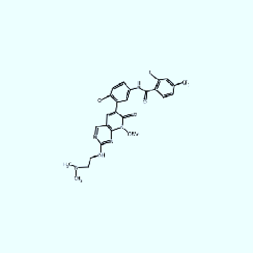 COn1c(=O)c(-c2cc(NC(=O)c3ccc(C(F)(F)F)cc3F)ccc2Cl)cc2cnc(NCCN(C)C)nc21